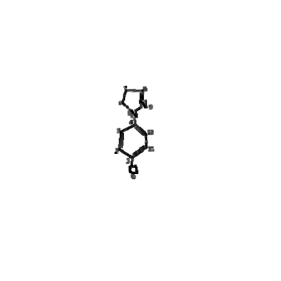 Clc1ccc(N2CCC=N2)cc1